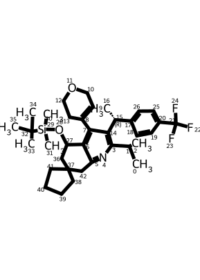 CC(C)c1nc2c(c(C3=CCOCC3)c1[C@H](C)c1ccc(C(F)(F)F)cc1)C(O[Si](C)(C)C(C)(C)C)CC1(CCCC1)C2